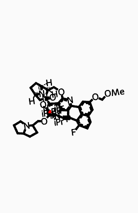 COCOc1cc(-c2nc3c4c(nc(OCC5CCC6CCCN65)nc4c2F)N2C[C@H]4CC[C@@H]([C@H]2CO3)N4C(=O)OC(C)(C)C)c2c(C#C[Si](C(C)C)(C(C)C)C(C)C)c(F)ccc2c1